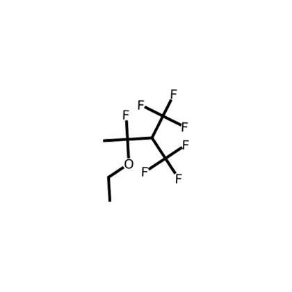 CCOC(C)(F)C(C(F)(F)F)C(F)(F)F